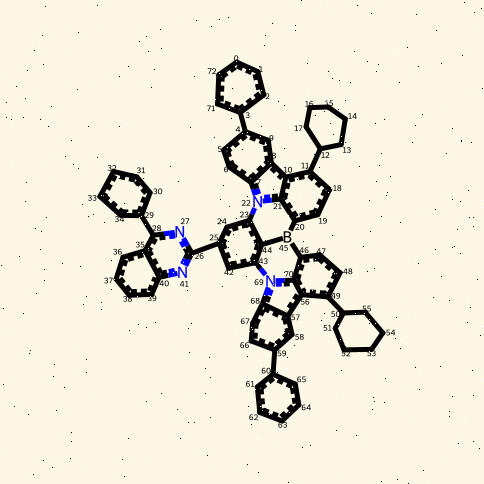 c1ccc(-c2ccc3c(c2)c2c(C4CCCCC4)ccc4c2n3-c2cc(-c3nc(-c5ccccc5)c5ccccc5n3)cc3c2B4c2ccc(C4CCCCC4)c4c5cc(-c6ccccc6)ccc5n-3c24)cc1